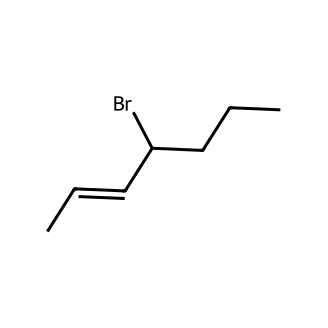 CC=CC(Br)CCC